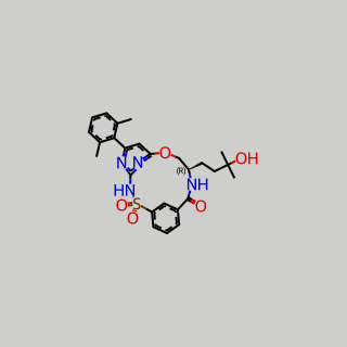 Cc1cccc(C)c1-c1cc2nc(n1)NS(=O)(=O)c1cccc(c1)C(=O)N[C@H](CCC(C)(C)O)CO2